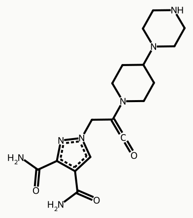 NC(=O)c1cn(CC(=C=O)N2CCC(N3CCNCC3)CC2)nc1C(N)=O